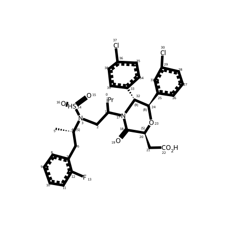 CC(C)C(CN([C@@H](C)Cc1ccccc1F)[SH](=O)=O)N1C(=O)[C@H](CC(=O)O)O[C@H](c2cccc(Cl)c2)[C@H]1c1ccc(Cl)cc1